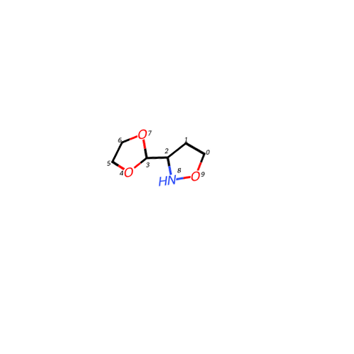 C1CC(C2OCCO2)NO1